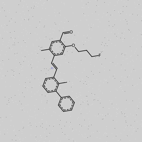 Cc1cc(C=O)c(OCCCF)cc1/C=C/c1cccc(-c2ccccc2)c1C